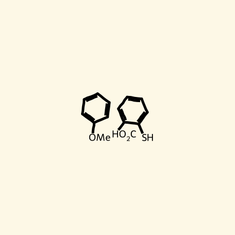 COc1ccccc1.O=C(O)c1ccccc1S